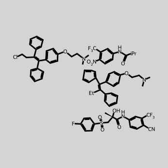 CC(C)C(=O)Nc1ccc([N+](=O)[O-])c(C(F)(F)F)c1.CC/C(=C(\c1ccccc1)c1ccc(OCCN(C)C)cc1)c1ccccc1.CN(C)CCOc1ccc(/C(=C(/CCCl)c2ccccc2)c2ccccc2)cc1.C[C@](O)(CS(=O)(=O)c1ccc(F)cc1)C(=O)Nc1ccc(C#N)c(C(F)(F)F)c1